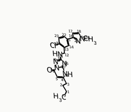 CCCCc1cc(=O)n2nc(NCc3cc(-c4ccn(C)n4)ccc3Cl)nc2[nH]1